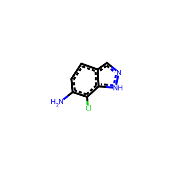 Nc1ccc2cn[nH]c2c1Cl